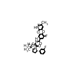 Cc1cc(Oc2ccc(C(=O)N[C@H](C)C(=O)N3[C@H](c4cccc(F)c4)CC[C@@H]3C(C)(C)C#N)cc2F)c(=O)[nH]n1